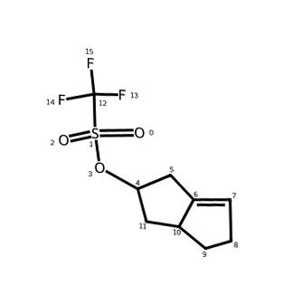 O=S(=O)(OC1CC2=CCCC2C1)C(F)(F)F